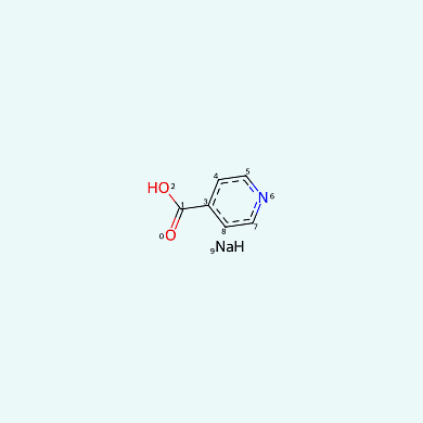 O=C(O)c1ccncc1.[NaH]